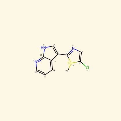 C[SH]1C(Cl)=CN=C1c1c[nH]c2ncccc12